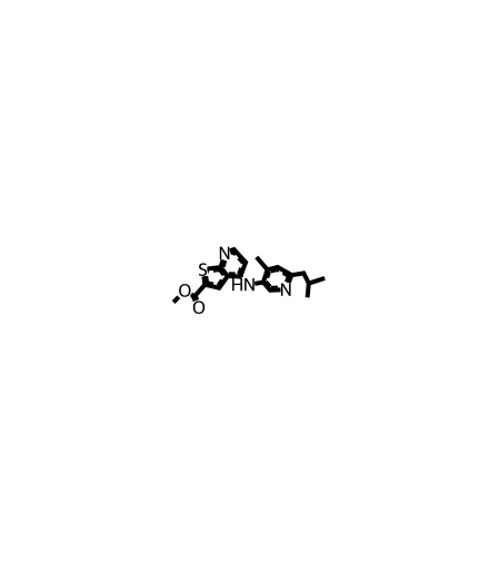 COC(=O)c1cc2c(Nc3cnc(CC(C)C)cc3C)ccnc2s1